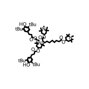 CN1C(C)(C)CC(OC(=O)CCCCCCCC(C(=O)OC2CC(C)(C)N(C)C(C)(C)C2)[N+]2(CCOC(=O)CCc3cc(C(C)(C)C)c(O)c(C(C)(C)C)c3)C(C)(C)CC(OC(=O)CCc3cc(C(C)(C)C)c(O)c(C(C)(C)C)c3)CC2(C)C)CC1(C)C